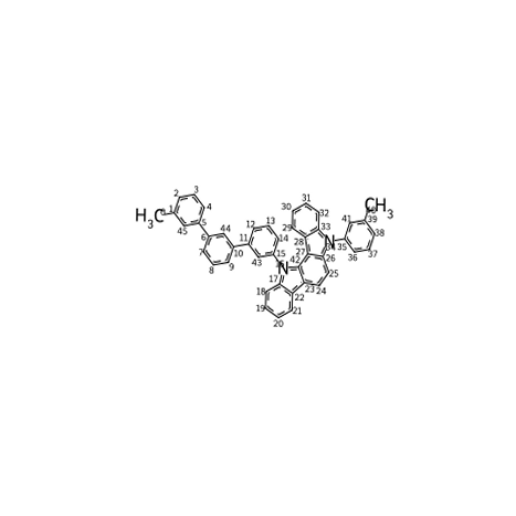 Cc1cccc(-c2cccc(-c3cccc(-n4c5ccccc5c5ccc6c(c7ccccc7n6-c6cccc(C)c6)c54)c3)c2)c1